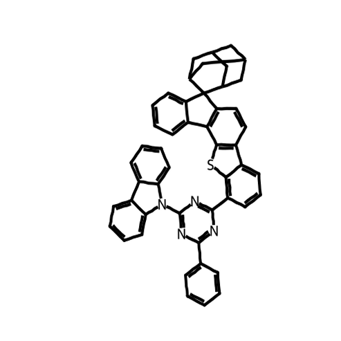 c1ccc(-c2nc(-c3cccc4c3sc3c5c(ccc34)C3(c4ccccc4-5)C4CC5CC(C4)CC3C5)nc(-n3c4ccccc4c4ccccc43)n2)cc1